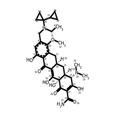 CCN(Cc1cc(O)c2c(c1OC)C[C@H]1C[C@H]3[C@H](N(C)C)C(O)=C(C(N)=O)C(=O)[C@@]3(O)C(O)=C1C2=O)C1(C2CC2)CC1